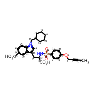 CC#CCOc1ccc(S(=O)(=O)NC(Cc2cn(CC3CCCCC3)c3ccc(C(=O)O)cc23)C(=O)O)cc1